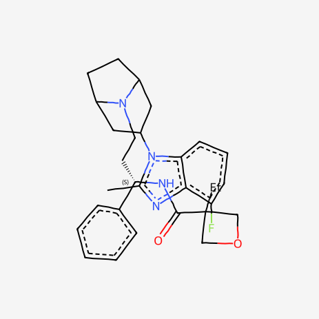 CCC1(C(=O)N[C@@H](CCN2C3CCC2CC(n2c(C)nc4c(F)cccc42)C3)c2ccccc2)COC1